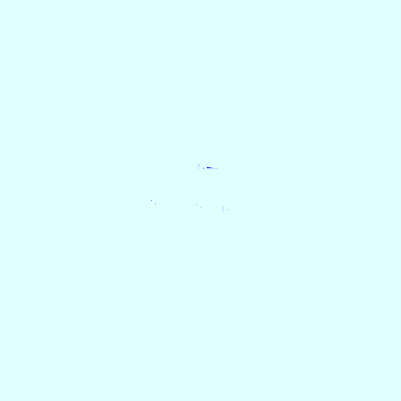 O=C(O)N[C@H]1CCC[C@@H]1Nc1cnc(C(F)(F)F)cn1